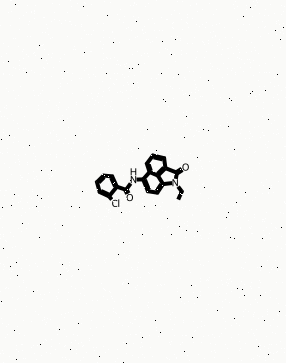 CCN1C(=O)c2cccc3c(NC(=O)c4ccccc4Cl)ccc1c23